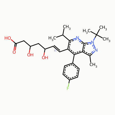 Cc1nn(C(C)(C)C)c2nc(C(C)C)c(/C=C/C(O)CC(O)CC(=O)O)c(-c3ccc(F)cc3)c12